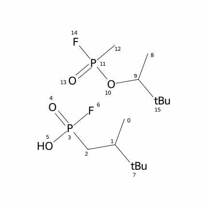 CC(CP(=O)(O)F)C(C)(C)C.CC(OP(C)(=O)F)C(C)(C)C